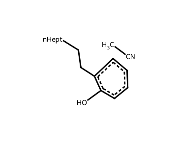 CC#N.CCCCCCCCCc1ccccc1O